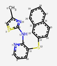 Cc1csc(Nc2ncccc2Sc2ccc3ccccc3c2)n1